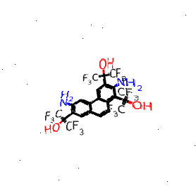 Nc1cc2c(ccc3c(C(O)(C(F)(F)F)C(F)(F)F)c(N)c(C(O)(C(F)(F)F)C(F)(F)F)cc32)cc1C(O)(C(F)(F)F)C(F)(F)F